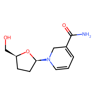 NC(=O)C1=CC=CN([C@H]2CC[C@@H](CO)O2)C1